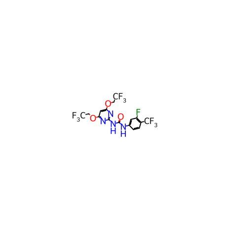 O=C(Nc1ccc(C(F)(F)F)c(F)c1)Nc1nc(OCC(F)(F)F)cc(OCC(F)(F)F)n1